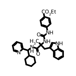 CCOC(=O)c1ccc(NC(=O)NC(C)(Cc2c[nH]c3ccccc23)C(=O)NC(c2ccccn2)C2CCCCC2)cc1